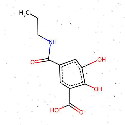 CCCNC(=O)c1cc(O)c(O)c(C(=O)O)c1